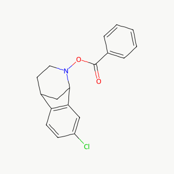 O=C(ON1CCC2CC1c1cc(Cl)ccc12)c1ccccc1